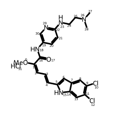 CO/C(=C/C=C/c1cc2cc(Cl)c(Cl)cc2[nH]1)C(=O)Nc1ccc(NCCN(C)C)nc1.Cl